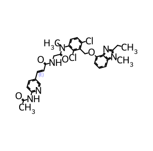 CCc1nc2c(OCc3c(Cl)ccc(N(C)C(=O)CNC(=O)/C=C/c4ccc(NC(C)=O)nc4)c3Cl)cccc2n1C